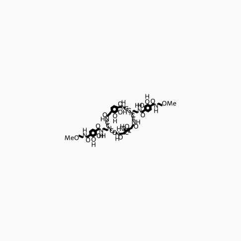 COCCNC(=O)c1ccc(C(=O)NCCN2CCNC(=O)c3ccc(c(O)c3O)C(=O)NCCN(CCNC(=O)c3ccc(C(=O)NCCOC)c(O)c3O)CCNC(=O)c3ccc(c(O)c3O)C(=O)NCC2)c(O)c1O